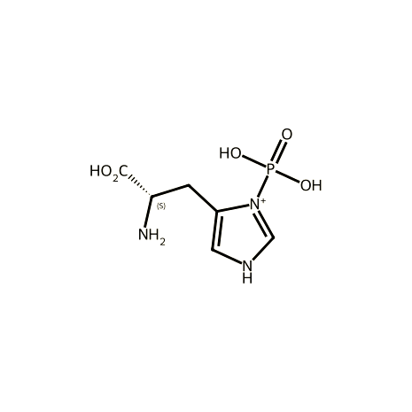 N[C@@H](Cc1c[nH]c[n+]1P(=O)(O)O)C(=O)O